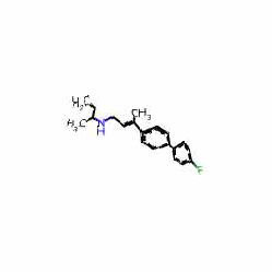 CCC(C)NCC=C(C)c1ccc(-c2ccc(F)cc2)cc1